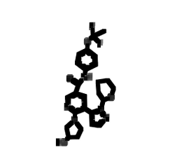 CC(F)(F)Oc1ccc(NC(=O)c2cnc(N3CCC(O)C3)c(-c3ccnn3C3CCCCO3)c2)cc1